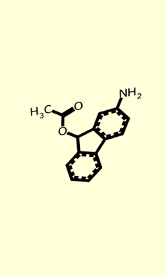 CC(=O)OC1c2ccccc2-c2ccc(N)cc21